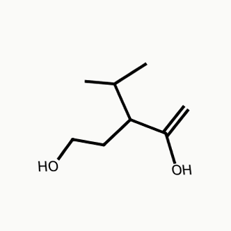 C=C(O)C(CCO)C(C)C